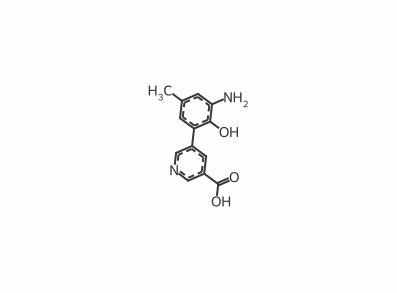 Cc1cc(N)c(O)c(-c2cncc(C(=O)O)c2)c1